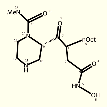 CCCCCCCCC(CC(=O)NO)C(=O)[C@@H]1CNCCN1C(=O)NC